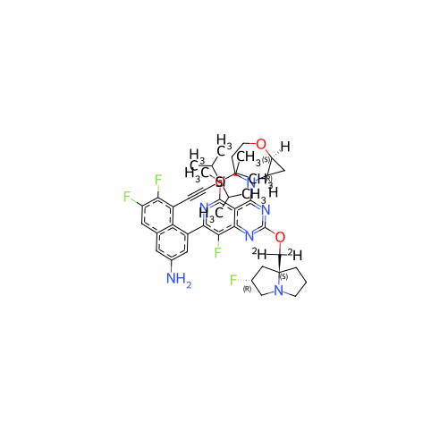 [2H]C([2H])(Oc1nc(N2CCCO[C@H]3C[C@H]32)c2c(OC)nc(-c3cc(N)cc4cc(F)c(F)c(C#C[Si](C(C)C)(C(C)C)C(C)C)c34)c(F)c2n1)[C@@]12CCCN1C[C@H](F)C2